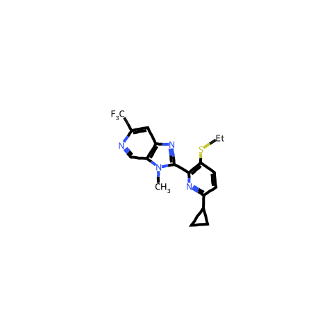 CCSc1ccc(C2CC2)nc1-c1nc2cc(C(F)(F)F)ncc2n1C